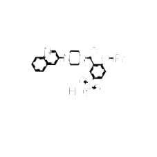 CC(C)Oc1ccc(S(C)(=O)=O)cc1C(=O)N1CCN(c2cnc3ccccc3c2)CC1